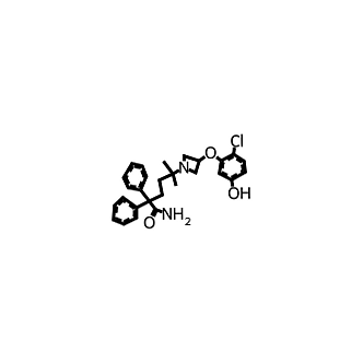 CC(C)(CCC(C(N)=O)(c1ccccc1)c1ccccc1)N1CC(Oc2cc(O)ccc2Cl)C1